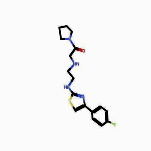 O=C(CNCCNc1nc(-c2ccc(F)cc2)cs1)N1CCCC1